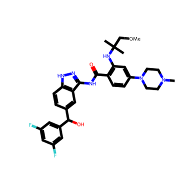 COCC(C)(C)Nc1cc(N2CCN(C)CC2)ccc1C(=O)Nc1n[nH]c2ccc(C(O)c3cc(F)cc(F)c3)cc12